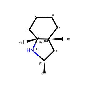 C[C@@H]1C[C@H]2CCCC[C@H]2N1